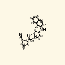 N#CC1C[C@H](F)CN1C(=O)CN1CCC(Nc2cnc3ccccc3c2)CC1